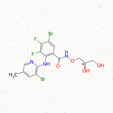 Cc1cnc(Nc2c(C(=O)NOC[C@H](O)CO)cc(Br)c(F)c2F)c(Br)c1